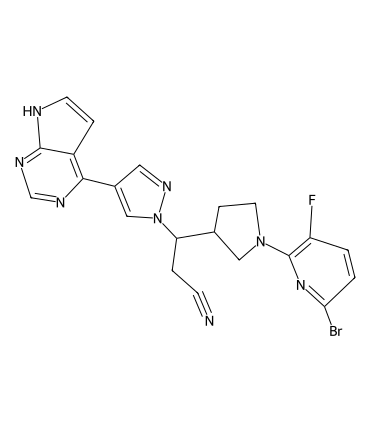 N#CCC(C1CCN(c2nc(Br)ccc2F)C1)n1cc(-c2ncnc3[nH]ccc23)cn1